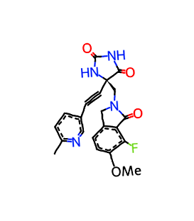 COc1ccc2c(c1F)C(=O)N(C[C@@]1(C#Cc3ccc(C)nc3)NC(=O)NC1=O)C2